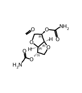 C=O.NC(=O)O[C@H]1CO[C@H]2[C@@H]1OC[C@H]2OC(N)=O